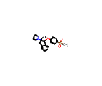 CC1(N2CCCC2)Cc2ccccc2C1Oc1ccc(S(C)(=O)=O)cc1